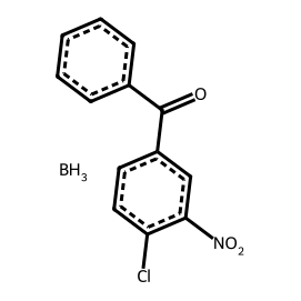 B.O=C(c1ccccc1)c1ccc(Cl)c([N+](=O)[O-])c1